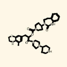 Cc1cc(CC(OC(=O)N2CCC(N3CCc4ccccc4NC3=O)CC2)C(=O)N2CCN(C3CCNCC3)CC2)cc2c1NCCO2